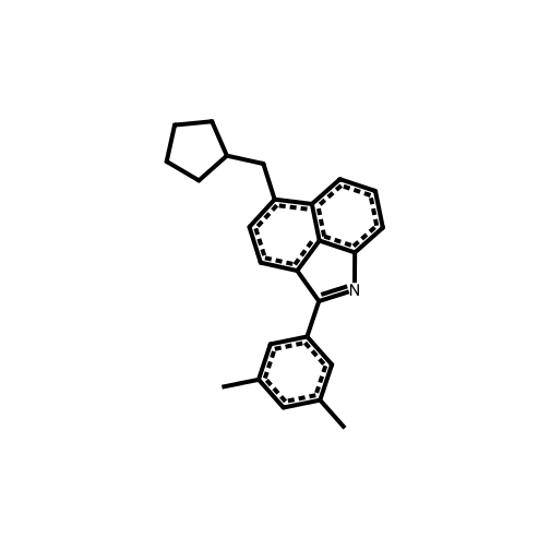 Cc1cc(C)cc(C2=Nc3cccc4c(CC5CCCC5)ccc2c34)c1